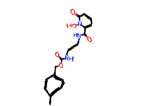 Cc1ccc(COC(=O)NCCNC(=O)c2cccc(=O)n2O)cc1